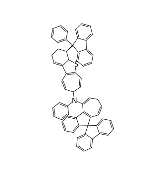 C1=CC2=C(C(N(c3ccccc3)C3C=CC4=C(C=C3)C3=CCC[C@@H](C5(c6ccccc6)c6ccccc6-c6ccccc65)C3S4)=CC1)c1ccccc1C21c2ccccc2-c2ccccc21